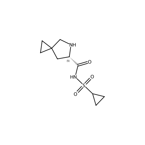 O=C(NS(=O)(=O)C1CC1)[C@@H]1CC2(CC2)CN1